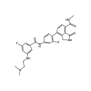 CNC(=O)c1ccc(-c2ccc(NC(=O)c3cc(F)cc(NCCN(C)C)c3)cc2F)c2c1C(=O)NC2